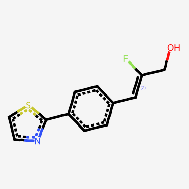 OC/C(F)=C/c1ccc(-c2nccs2)cc1